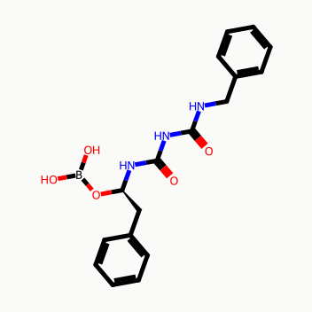 O=C(NCc1ccccc1)NC(=O)N[C@@H](Cc1ccccc1)OB(O)O